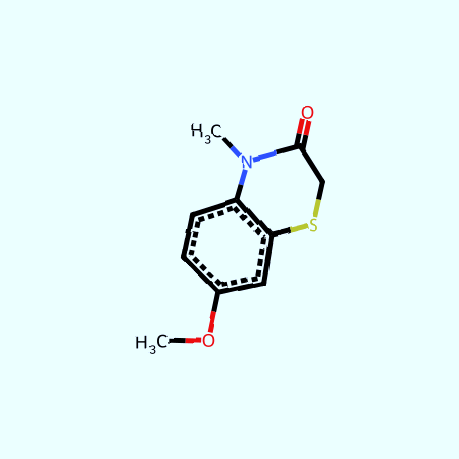 COc1ccc2c(c1)SCC(=O)N2C